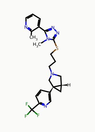 Cc1ncccc1-c1nnc(SCCCN2C[C@@H]3C[C@]3(c3ccc(C(F)(F)F)nc3)C2)n1C